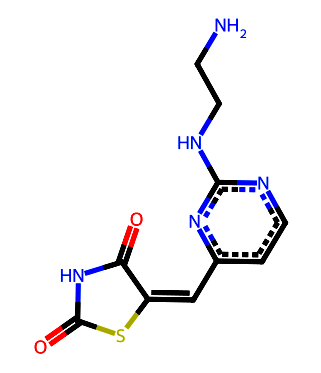 NCCNc1nccc(C=C2SC(=O)NC2=O)n1